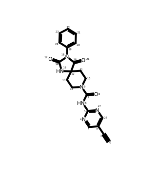 C#Cc1cnc(NC(=O)N2CCC3(CC2)NC(=O)N(c2ccccc2)C3=O)nc1